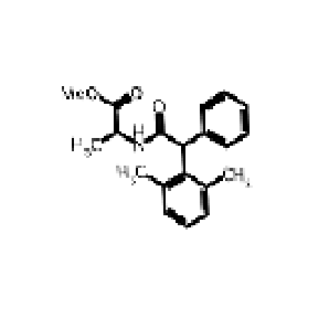 COC(=O)C(C)NC(=O)C(c1ccccc1)c1c(C)cccc1C